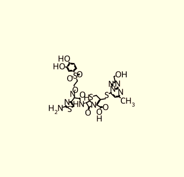 Cc1cc(SCC2=C(C(=O)O)N3C(=O)[C@@H](NC(=O)/C(=N\OCCS(=O)(=O)c4ccc(O)c(O)c4)c4csc(N)n4)[C@H]3SC2)n2nc(CO)nc2n1